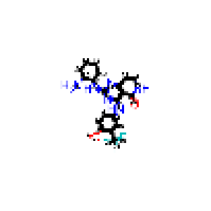 COc1ccc(Nc2nc(NC3CCCCC3N)nc3c2C(=O)NCC3)cc1C(F)(F)F